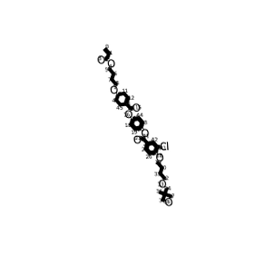 C=CC(=O)OCCCCOC1CC=C(C(=O)Oc2ccc(OC(=O)c3ccc(OCCCCOCC4(C)COC4)c(Cl)c3)cc2)CC1